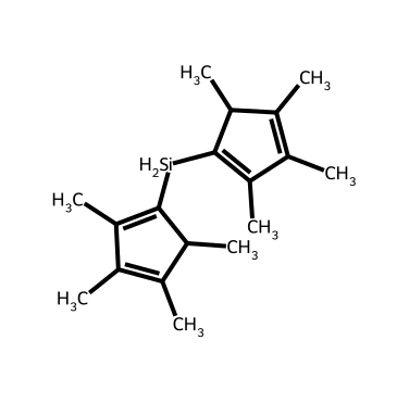 CC1=C(C)C(C)C([SiH2]C2=C(C)C(C)=C(C)C2C)=C1C